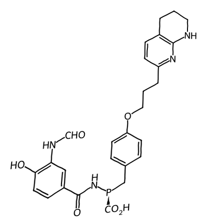 O=CNc1cc(C(=O)N[P@@](Cc2ccc(OCCCc3ccc4c(n3)NCCC4)cc2)C(=O)O)ccc1O